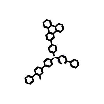 C=C(/C=C\C(=C/C)N(c1ccc(-c2ccc(-c3ccccc3)c(C)c2)cc1)c1ccc(-c2ccc3c(c2)C2=CC=CCC2C2=CCCC=C23)cc1)c1ccccc1